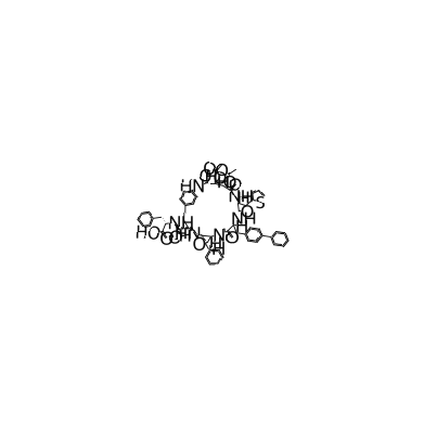 CC(=O)O[C@H]1C(=O)Nc2ccc(cc2)C[C@H](C(=O)N[C@@H](Cc2ccccc2)C(=O)O)NC(=O)[C@H](Cc2ccccc2)NC(=O)[C@@H](Cc2ccc(-c3ccccc3)cc2)NC(=O)[C@H](Cc2cccs2)NC(=O)[C@@H]1OC(C)=O